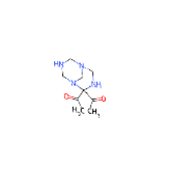 CC(=O)C1(C(C)=O)NCN2CNCN1C2